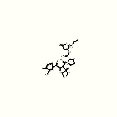 CCO[C@@H]1OC(=O)C[C@@H]1NC(=O)[C@@H]1CCCN1C(=O)C(NC(=O)c1ccc(N)c(Cl)c1)C(C)(CC)CC